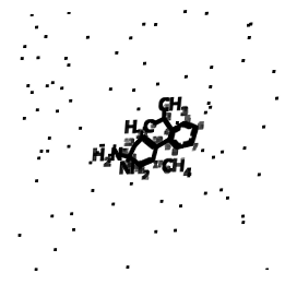 C.CC(C)c1ccccc1C1=CCC(N)(N)C=C1